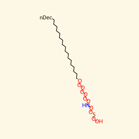 CCCCCCCCCCCCCCCCCCCCCCCCCCCCOOOOOOONOOSOO